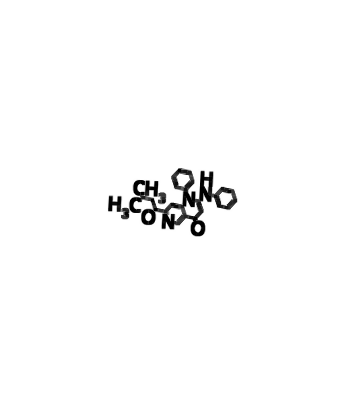 CC(C)CC(=O)c1cc2c(cn1)c(=O)cc(Nc1ccccc1)n2-c1ccccc1